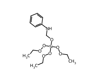 CCOO[Si](OCNc1ccccc1)(OOCC)OOCC